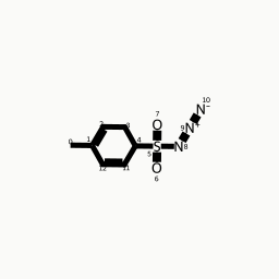 CC1=CCC(S(=O)(=O)N=[N+]=[N-])C=C1